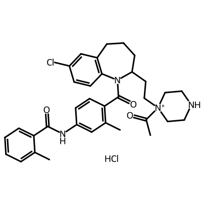 CC(=O)[N+]1(CCC2CCCc3cc(Cl)ccc3N2C(=O)c2ccc(NC(=O)c3ccccc3C)cc2C)CCNCC1.Cl